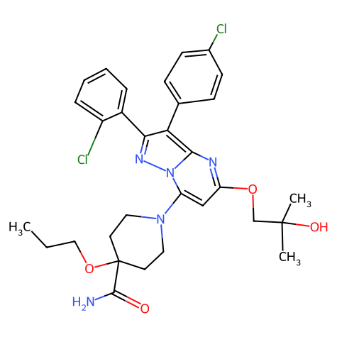 CCCOC1(C(N)=O)CCN(c2cc(OCC(C)(C)O)nc3c(-c4ccc(Cl)cc4)c(-c4ccccc4Cl)nn23)CC1